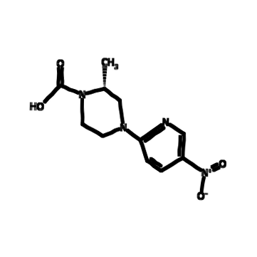 C[C@@H]1CN(c2ccc([N+](=O)[O-])cn2)CCN1C(=O)O